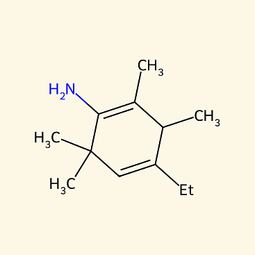 CCC1=CC(C)(C)C(N)=C(C)C1C